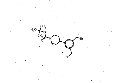 CC(C)(C)OC(=O)N1CCC(c2cc(CBr)cc(CBr)c2)CC1